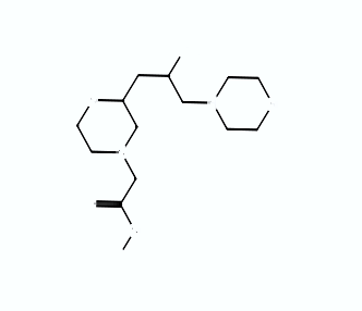 CNC(=O)CN1CCNC(CC(C)CN2CCNCC2)C1